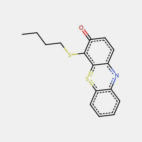 CCCCSc1c2sc3ccccc3nc-2ccc1=O